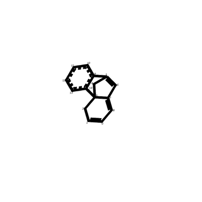 C1=CCC23CC(=CC2=C1)c1ccccc13